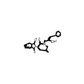 CC1C[C@H](N2C(=O)c3ccccc3C2=O)C(=O)N(CC(O)Cc2ccccc2)C1